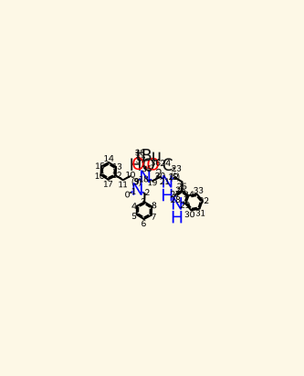 CN(Cc1ccccc1)[C@H](CCc1ccccc1)N(CCN[C@H](CC(=O)O)Cc1c[nH]c2ccccc12)C(=O)OC(C)(C)C